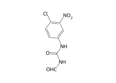 O=CNC(=O)Nc1ccc(Cl)c([N+](=O)[O-])c1